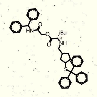 CCC(C)[C@H](NCC1CCC(SC(c2ccccc2)(c2ccccc2)c2ccccc2)C1)C(=O)OCC(=O)NC(c1ccccc1)c1ccccc1